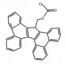 O=C(Cl)OCC1c2c(c3ccccc3c3ccccc23)-c2c1c1ccccc1c1ccccc21